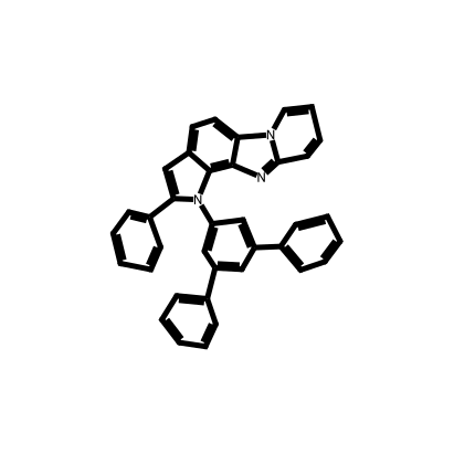 c1ccc(-c2cc(-c3ccccc3)cc(-n3c(-c4ccccc4)cc4ccc5c(nc6ccccn65)c43)c2)cc1